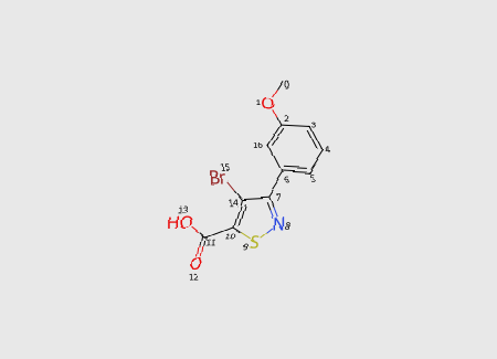 COc1cccc(-c2nsc(C(=O)O)c2Br)c1